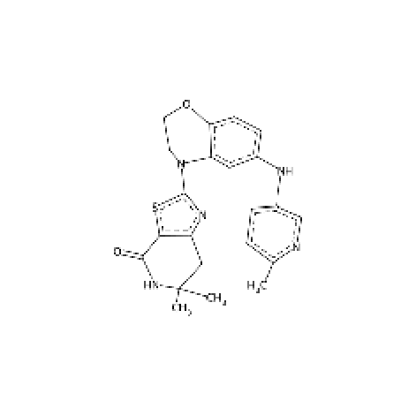 Cc1ccc(Nc2ccc3c(c2)N(c2nc4c(s2)C(=O)NC(C)(C)C4)CCO3)cn1